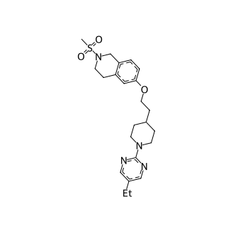 CCc1cnc(N2CCC(CCOc3ccc4c(c3)CCN(S(C)(=O)=O)C4)CC2)nc1